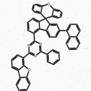 c1ccc(-c2nc(-c3cccc4c3-c3ccc(-c5cccc6ccccc56)cc3C43c4ccccc4Oc4ccccc43)nc(-c3cccc4c3oc3ccccc34)n2)cc1